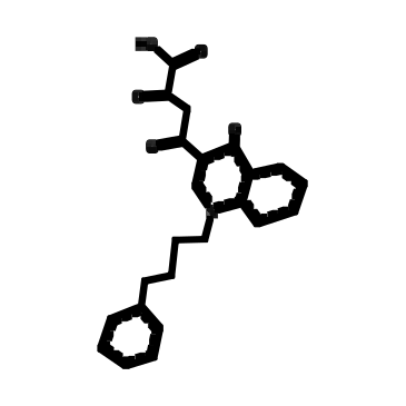 O=C(O)C(=O)CC(=O)c1cn(CCCCc2ccccc2)c2ccccc2c1=O